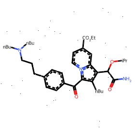 CCCCc1c(C(OC(C)C)C(N)=O)c2cc(C(=O)OCC)ccn2c1C(=O)c1ccc(CCCN(CCCC)CCCC)cc1